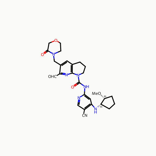 CO[C@@H]1CCC[C@@H]1Nc1cc(NC(=O)N2CCCc3cc(CN4CCOCC4=O)c(C=O)nc32)ncc1C#N